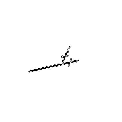 CCCCCCCCCCCCCCCCCN(CCC(=O)NCCSC)CCC(=O)NCCSSC